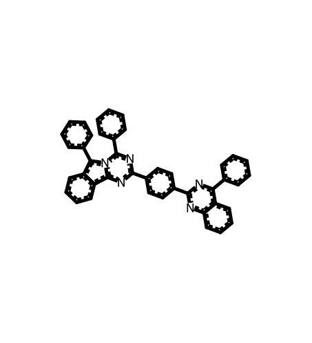 c1ccc(-c2nc(-c3ccc(-c4nc(-c5ccccc5)n5c(-c6ccccc6)c6ccccc6c5n4)cc3)nc3ccccc23)cc1